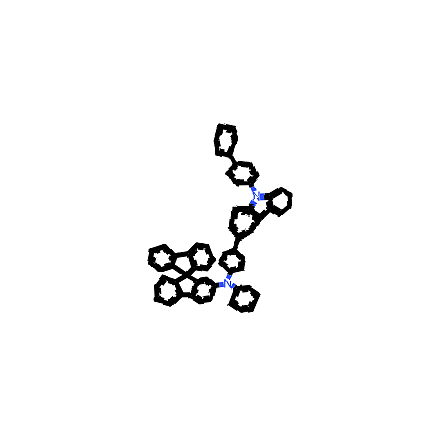 C1=c2c(n(-c3ccc(-c4ccccc4)cc3)c3ccc(-c4ccc(N(c5ccccc5)c5ccc6c(c5)C5(c7ccccc7-c7ccccc75)c5ccccc5-6)cc4)cc23)=CCC1